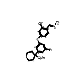 COC1(c2cc(F)cc(Sc3ccc(C=NO)c(Cl)c3)c2)CCOCC1